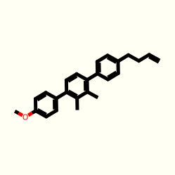 C=CCCc1ccc(-c2ccc(-c3ccc(OC)cc3)c(C)c2C)cc1